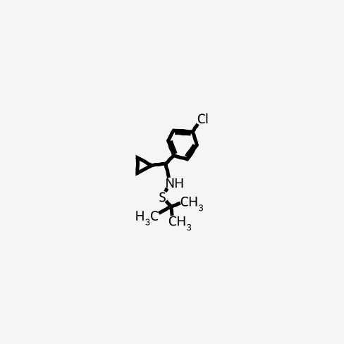 CC(C)(C)SNC(c1ccc(Cl)cc1)C1CC1